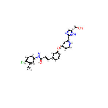 O=C(/C=C/c1cccc(Oc2ccnc(-c3ncc(CO)[nH]3)c2)c1)Nc1ccc(Br)c(C(F)(F)F)c1